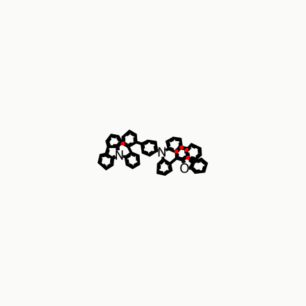 c1ccc(-c2cccc(N(c3ccc(-c4ccccc4-c4ccccc4-n4c5ccccc5c5ccccc54)cc3)c3ccccc3-c3cccc4c3oc3ccccc34)c2)cc1